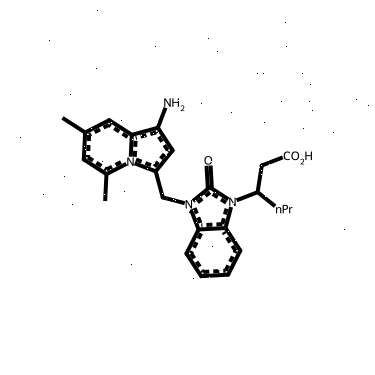 CCCC(CC(=O)O)n1c(=O)n(Cc2cc(N)c3cc(C)cc(C)n23)c2ccccc21